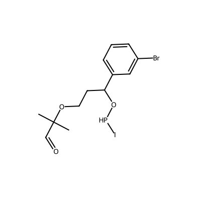 CC(C)(C=O)OCCC(OPI)c1cccc(Br)c1